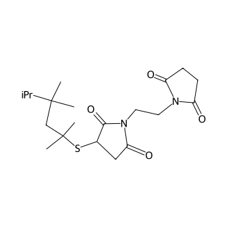 CC(C)C(C)(C)CC(C)(C)SC1CC(=O)N(CCN2C(=O)CCC2=O)C1=O